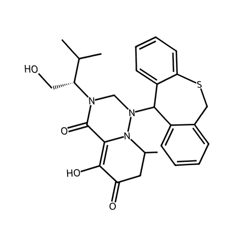 CC(C)[C@@H](CO)N1CN(C2c3ccccc3CSc3ccccc32)N2C(=C(O)C(=O)CC2C)C1=O